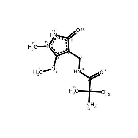 COc1c(CNC(=O)C(C)(C)C)c(=O)[nH]n1C